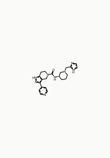 O=C(N[C@@H]1CCCN(Cc2ncc[nH]2)C1)N1CCc2[nH]nc(-c3ccncc3)c2C1